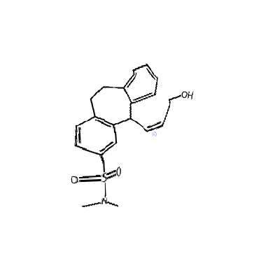 CN(C)S(=O)(=O)c1ccc2c(c1)C(/C=C\CO)c1ccccc1CC2